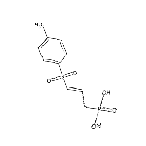 Cc1ccc(S(=O)(=O)C=CCP(=O)(O)O)cc1